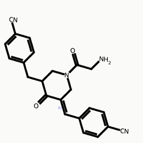 N#Cc1ccc(/C=C2\CN(C(=O)CN)CC(Cc3ccc(C#N)cc3)C2=O)cc1